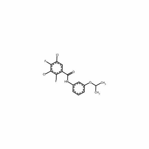 CC(C)Oc1cccc(NC(=O)c2cc(Cl)c(F)c(Cl)c2F)c1